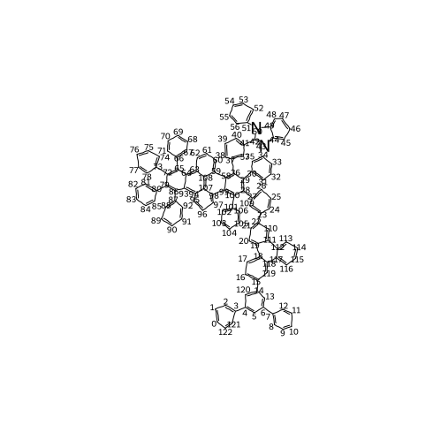 c1ccc(-c2cc(-c3ccccc3)cc(-c3ccc4c5ccc(-c6cccc(-c7c(-c8ccccc8)c(-c8cccc(-c9nc%10ccccc%10n9-c9ccccc9)c8)c8c9cccc%10c%11c(-c%12ccccc%12)c(-c%12ccccc%12)c(-c%12ccccc%12)c(-c%12ccccc%12)c%11c%11cccc(c8c7-c7ccccc7)c%11c%109)c6)cc5c5ccccc5c4c3)c2)cc1